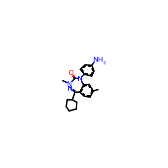 Cc1ccc2c(c1)N(c1ccc(N)cc1)C(=O)N(C)N=C2C1CCCCC1